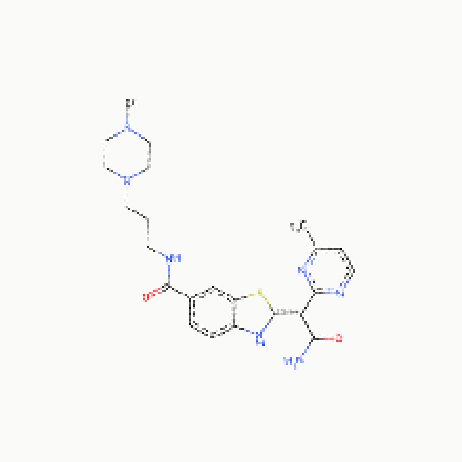 CCN1CCN(CCCNC(=O)c2ccc3c(c2)S/C(=C(/C(N)=O)c2nccc(C(F)(F)F)n2)N3)CC1